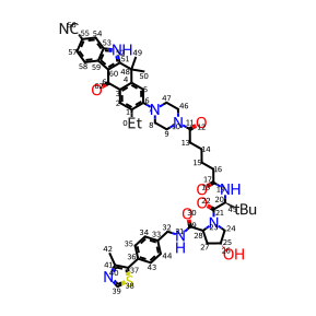 CCc1cc2c(cc1N1CCN(C(=O)CCCCC(=O)N[C@H](C(=O)N3C[C@H](O)CC3C(=O)NCc3ccc(-c4scnc4C)cc3)C(C)(C)C)CC1)C(C)(C)c1[nH]c3cc(C#N)ccc3c1C2=O